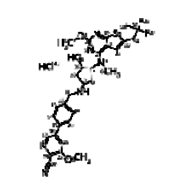 COc1nc(N(C)[C@H]2C[C@@H](NCc3ccc(-c4cnc(C#N)c(OC)c4)cc3)C[C@H]2O)c2cc(CC(F)(F)F)sc2n1.Cl